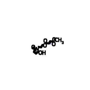 COC(=O)/C=C/C(=O)OCCCN1C(=O)CCC1O